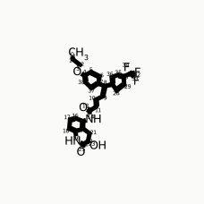 CCCOc1ccc(C(=CC=CC(=O)Nc2cccc3c2CC(O)C(=O)N3)c2ccc(C(F)(F)F)cc2)cc1